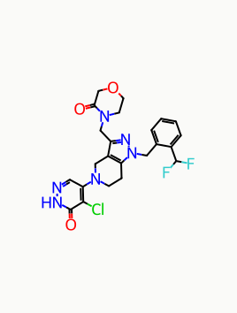 O=C1COCCN1Cc1nn(Cc2ccccc2C(F)F)c2c1CN(c1cn[nH]c(=O)c1Cl)CC2